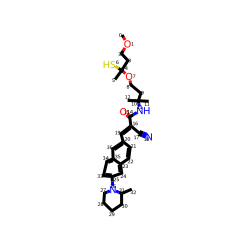 COCCC(C)(S)OCCC(C)(C)NC(=O)/C(C#N)=C/c1ccc2cc(N3CCCCC3C)ccc2c1